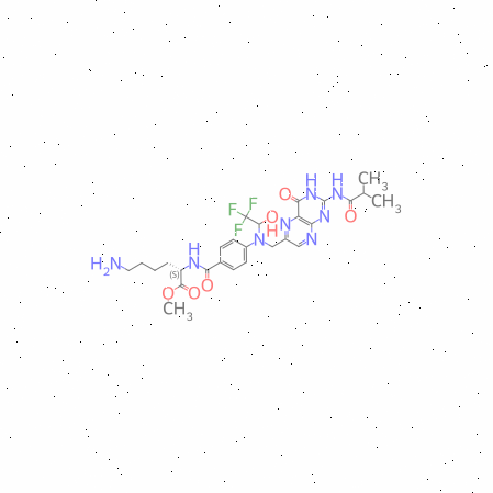 COC(=O)[C@H](CCCCN)NC(=O)c1ccc(N(Cc2cnc3nc(NC(=O)C(C)C)[nH]c(=O)c3n2)C(O)C(F)(F)F)cc1